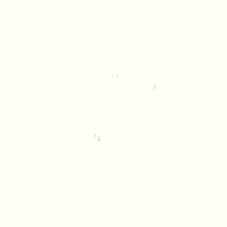 CCC(=C(C)C(=O)O)N(C)C